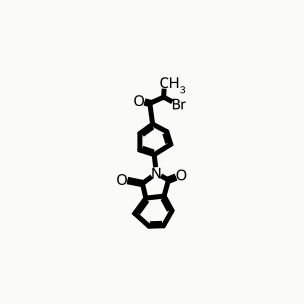 CC(Br)C(=O)c1ccc(N2C(=O)c3ccccc3C2=O)cc1